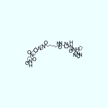 O=C1CCC(N2Cc3cc(N4CCN(C(=O)CCCCCc5nnc(-c6ccc(NC(=O)Nc7cnc8ccnn8c7C7CCCC7)cn6)o5)CC4)ccc3C2=O)C(=O)N1